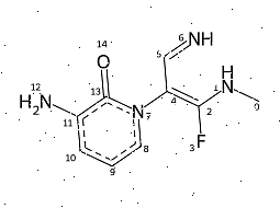 CN/C(F)=C(\C=N)n1cccc(N)c1=O